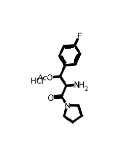 CC(=O)OC(c1ccc(F)cc1)C(N)C(=O)N1CCCC1.Cl